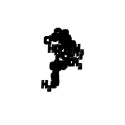 COc1ccc(CN(Cc2ccc(OC)cc2)S(=O)(=O)CCCC2C(C)C2[C@H](O)[C@@H]2CC[C@H]2CN2C[C@@]3(CCCc4cc(Cl)ccc43)COc3ccc(C(=O)OC(C)(C)C)cc32)cc1